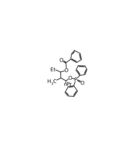 CCCC(OP(=O)(c1ccccc1)c1ccccc1)C(C)C(CC)OC(=O)c1ccccc1